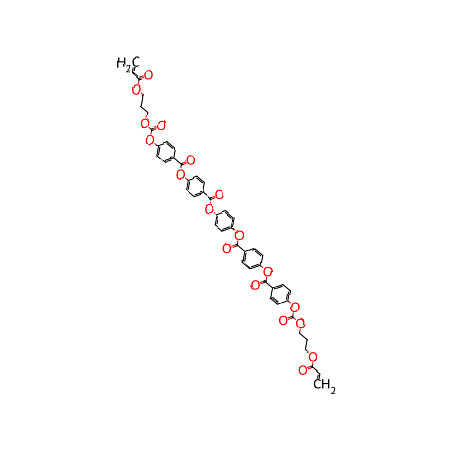 C=CC(=O)OCCCOC(=O)Oc1ccc(C(=O)Oc2ccc(C(=O)Oc3ccc(OC(=O)c4ccc(OC(=O)c5ccc(OC(=O)OCCCOC(=O)C=C)cc5)cc4)cc3)cc2)cc1